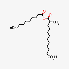 CCCCCCCCCCCCCCCCCC(=O)OC(=O)C(C)CCCCCCCCCC(=O)O